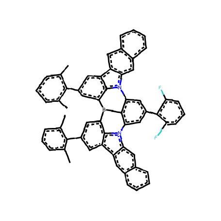 Cc1cccc(C)c1-c1cc2c3c(c1)c1cc4ccccc4cc1n3-c1cc(-c3c(F)cccc3F)cc3c1B2c1cc(-c2c(C)cccc2C)cc2c4cc5ccccc5cc4n-3c12